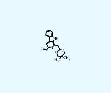 CC1(C)COC(Cc2nc([C]=O)cc3c2[nH]c2ccccc23)OC1